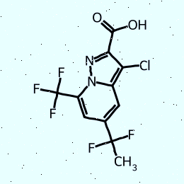 CC(F)(F)c1cc(C(F)(F)F)n2nc(C(=O)O)c(Cl)c2c1